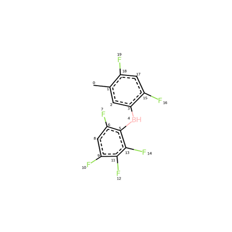 Cc1cc(Bc2c(F)cc(F)c(F)c2F)c(F)cc1F